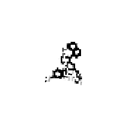 OC(CC1C(c2cccc3ccccc23)NCCN1Cc1ccc(Cl)cc1Cl)Cn1cncn1